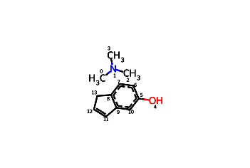 CN(C)C.Oc1ccc2c(c1)C=CC2